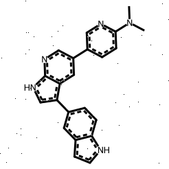 CN(C)c1ccc(-c2cnc3[nH]cc(-c4ccc5[nH]ccc5c4)c3c2)cn1